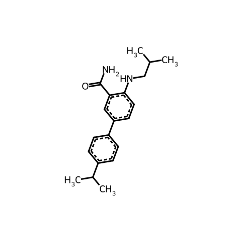 CC(C)CNc1ccc(-c2ccc(C(C)C)cc2)cc1C(N)=O